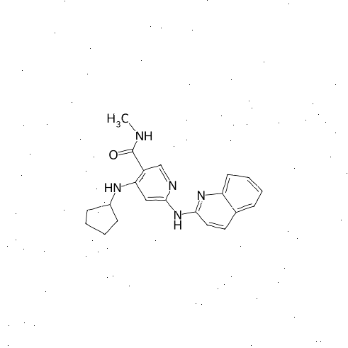 CNC(=O)c1cnc(Nc2ccc3ccccc3n2)cc1NC1CCCC1